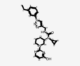 CCc1cccc(-n2cc(CNC(=O)N(C3CC3)[C@@H]3CCCN(c4nccc(O)n4)C3)nn2)c1